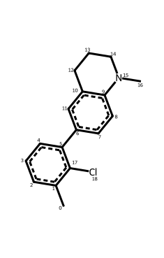 Cc1cccc(-c2ccc3c(c2)CCCN3C)c1Cl